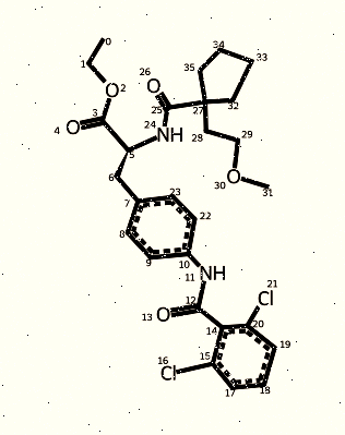 CCOC(=O)[C@H](Cc1ccc(NC(=O)c2c(Cl)cccc2Cl)cc1)NC(=O)C1(CCOC)CCCC1